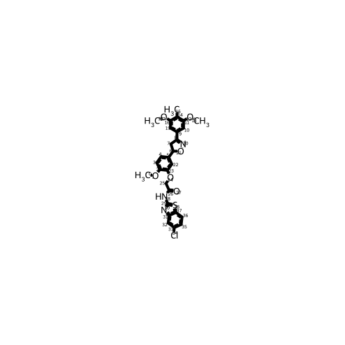 COc1ccc(C2CC(c3cc(OC)c(C)c(OC)c3)=NO2)cc1OCC(=O)Nc1nc2cc(Cl)ccc2s1